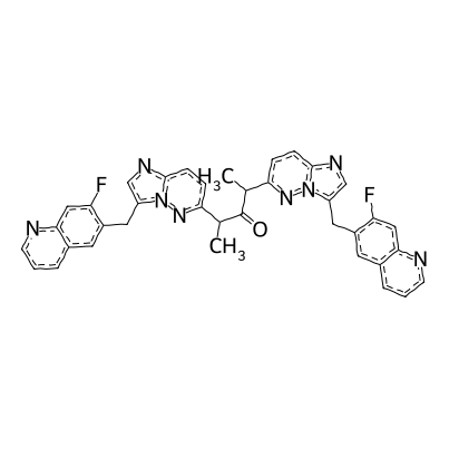 CC(C(=O)C(C)c1ccc2ncc(Cc3cc4cccnc4cc3F)n2n1)c1ccc2ncc(Cc3cc4cccnc4cc3F)n2n1